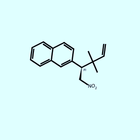 C=CC(C)(C)[C@@H](C[N+](=O)[O-])c1ccc2ccccc2c1